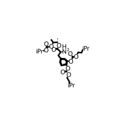 CC(C)CCOC(=O)Oc1ccc(C[C@H](N)C(=O)O[C@@H](C)C(C)OC(=O)OC(C)C)cc1OC(=O)OCCC(C)C